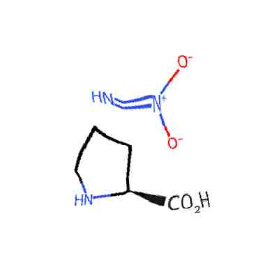 N=[N+]([O-])[O-].O=C(O)[C@@H]1CCCN1